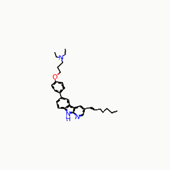 CCCCCC=Cc1cnc2[nH]c3ccc(-c4ccc(OCCCN(CC)CC)cc4)cc3c2c1